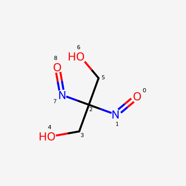 O=NC(CO)(CO)N=O